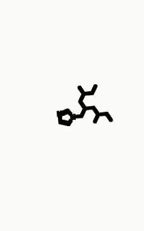 CCC(C)C[C](CC(C)CC)Cn1ccnc1